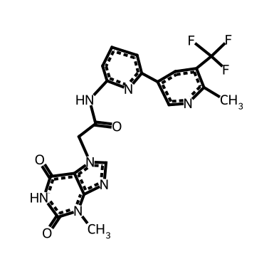 Cc1ncc(-c2cccc(NC(=O)Cn3cnc4c3c(=O)[nH]c(=O)n4C)n2)cc1C(F)(F)F